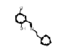 Oc1ccc(Cl)cc1C=NCCc1ccccc1